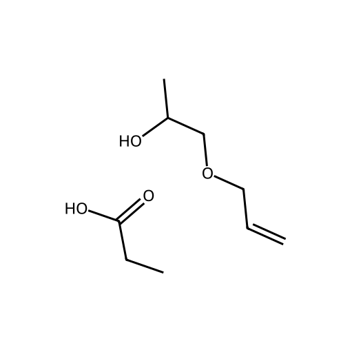 C=CCOCC(C)O.CCC(=O)O